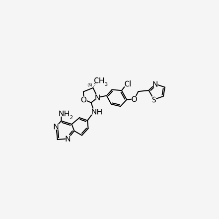 C[C@H]1COC(Nc2ccc3ncnc(N)c3c2)N1c1ccc(OCc2nccs2)c(Cl)c1